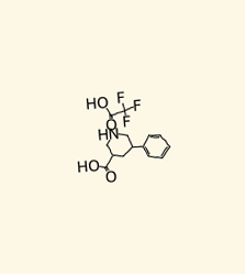 O=C(O)C(F)(F)F.O=C(O)C1CNCC(c2ccccc2)C1